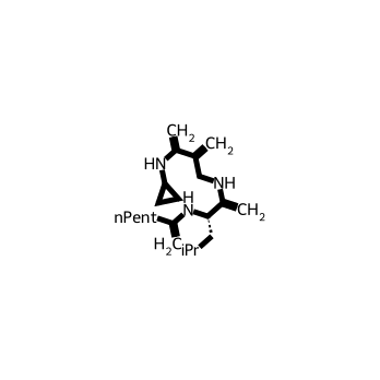 C=C(CCCCC)N[C@@H](CC(C)C)C(=C)NCC(=C)C(=C)NC1CC1